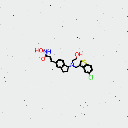 O=C(/C=C/c1ccc2c(c1)CCC2N(CCO)Cc1csc2ccc(Cl)cc12)NO